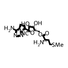 CSCC[C@H](N)C(=O)OC[C@H]1O[C@@](C#N)(c2ccc3c(N)ncnn23)[C@H](O)[C@@H]1O